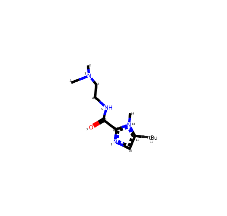 CN(C)CCNC(=O)c1ncc(C(C)(C)C)n1C